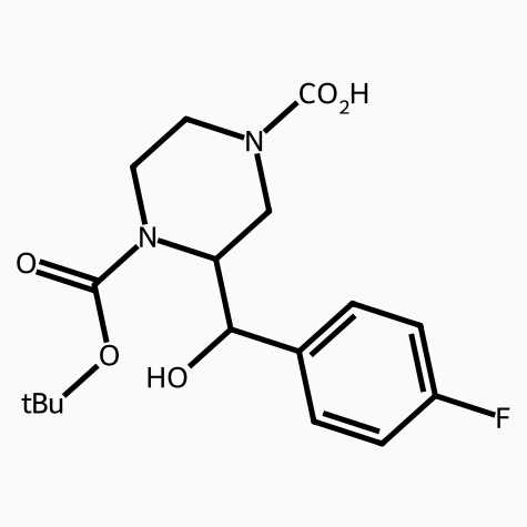 CC(C)(C)OC(=O)N1CCN(C(=O)O)CC1C(O)c1ccc(F)cc1